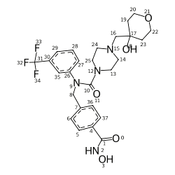 O=C(NO)c1ccc(CN(C(=O)N2CCN(CC3(O)CCOCC3)CC2)c2cccc(C(F)(F)F)c2)cc1